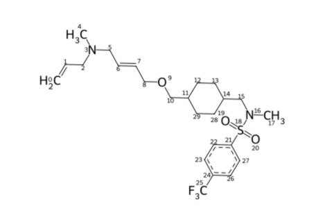 C=CCN(C)C/C=C/COCC1CCC(CN(C)S(=O)(=O)c2ccc(C(F)(F)F)cc2)CC1